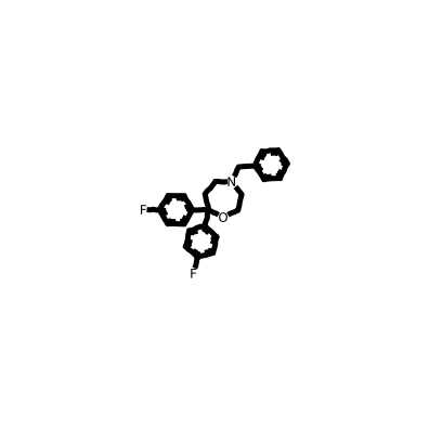 Fc1ccc(C2(c3ccc(F)cc3)CCN(Cc3ccccc3)CCO2)cc1